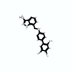 Oc1noc2c(COc3ccc(-c4cc(F)c(F)cc4F)cc3)cccc12